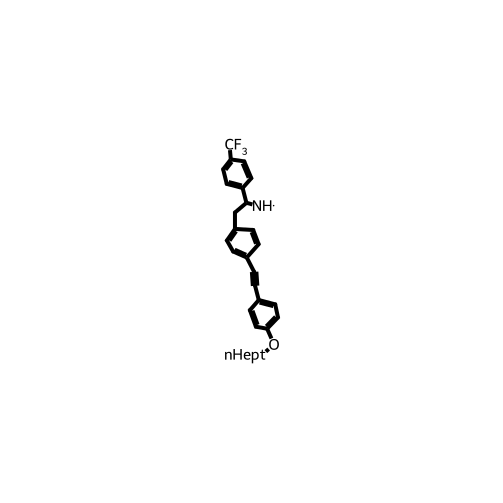 CCCCCCCOc1ccc(C#Cc2ccc(CC([NH])c3ccc(C(F)(F)F)cc3)cc2)cc1